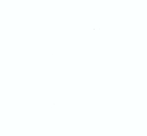 C=CC(=O)OCCCCC1CCCC(OC2CCCC(CCCCOC(=O)C=C)C2)C1